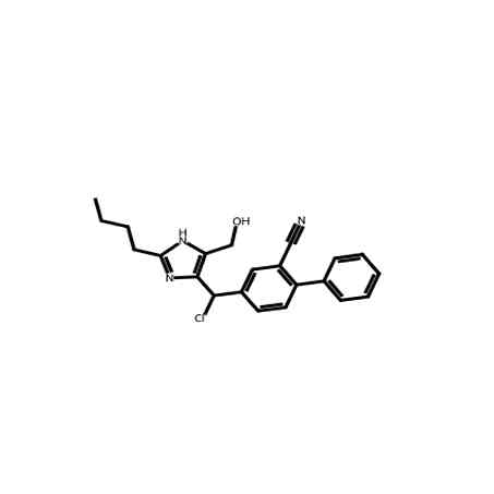 CCCCc1nc(C(Cl)c2ccc(-c3ccccc3)c(C#N)c2)c(CO)[nH]1